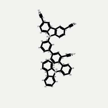 N#Cc1ccc2c(c1)c1cc(C#N)ccc1n2-c1cccc(-c2ccc(-c3ccccc3-n3c4ccccc4c4ccccc43)c(C#N)c2)c1